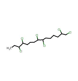 CCC(Cl)C(Cl)CCCC(Cl)C(Cl)CCCCC(Cl)CCl